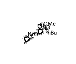 CCCCOC(=O)N(C(=O)OC)c1ccc(OCc2nc3ccccc3s2)cc1C